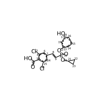 O=C(O)c1c(Cl)cc(/C=C/P(=O)(Oc2cccc(O)c2)OC2CC2)cc1Cl